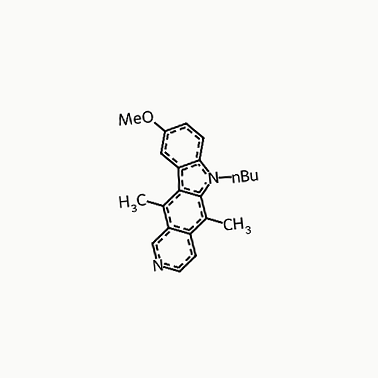 CCCCn1c2ccc(OC)cc2c2c(C)c3cnccc3c(C)c21